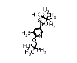 Bc1cc(B2OC(C)(C)C(C)(C)O2)cnc1OCC(C)(P)P